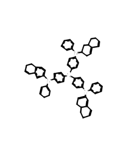 C1=CC(N(c2ccc(N(c3ccc(N(C4=CCC5CCC=CC5=C4)c4ccccc4)cc3)c3ccc(N(c4ccccc4)C4CC=C5C=CCCC5C4)cc3)cc2)c2ccc3c(c2)C=CCC3)=CCC1